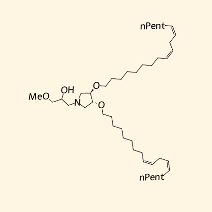 CCCCC/C=C\C/C=C\CCCCCCCCO[C@@H]1CN(CC(O)COC)C[C@H]1OCCCCCCCC/C=C\C/C=C\CCCCC